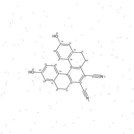 N#Cc1c(C#N)c2c(c3c1CCc1cc(O)ccc1-3)-c1ccc(O)cc1CC2